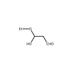 CCOC(O)CC=O